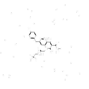 CNC(=O)c1c(O)c2ncc(Cc3ccc(F)cc3)cc2n(CC(=O)NCC(F)(F)F)c1=O